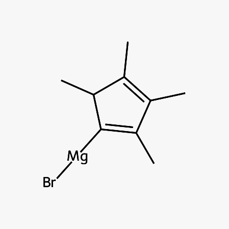 CC1=C(C)C(C)[C]([Mg][Br])=C1C